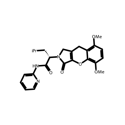 COc1ccc(OC)c2c1CC1=C(O2)C(=O)N([C@@H](CC(C)C)C(=O)Nc2ccccn2)C1